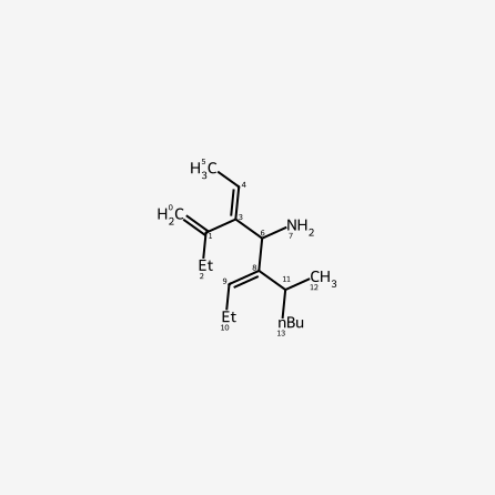 C=C(CC)/C(=C\C)C(N)/C(=C/CC)C(C)CCCC